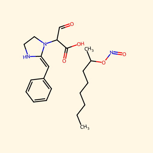 CCCCCCC(C)ON=O.O=CC(C(=O)O)N1CCNC1=Cc1ccccc1